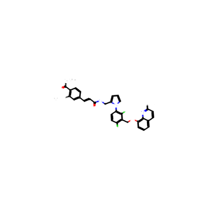 CNC(=O)c1ccc(C=CC(=O)NCc2cccn2-c2ccc(Cl)c(COc3cccc4ccc(C)nc34)c2Cl)cc1OC